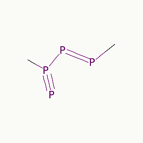 CP=PP(C)#P